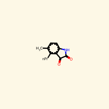 CCCc1c(C)ccc2c1C(=O)C(=O)N2